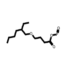 CCCCC(CC)COCCCC(=O)OP=O